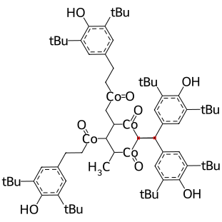 C[CH]([CH]([CH]([CH2][Co](=[O])[CH2]Cc1cc(C(C)(C)C)c(O)c(C(C)(C)C)c1)[Co](=[O])[CH2]Cc1cc(C(C)(C)C)c(O)c(C(C)(C)C)c1)[Co](=[O])[CH2]Cc1cc(C(C)(C)C)c(O)c(C(C)(C)C)c1)[Co](=[O])[CH2]Cc1cc(C(C)(C)C)c(O)c(C(C)(C)C)c1